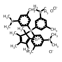 CC1=C(C)C(C)([Si](c2cc(C)cc(N(C)C)c2)(c2cc(C)cc(N(C)C)c2)c2cc(C)cc(N(C)C)c2)[C]([Ti+3])=C1C.[Cl-].[Cl-].[Cl-]